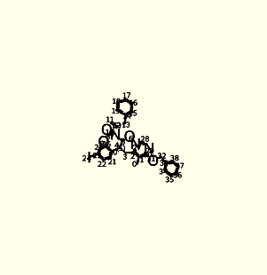 Cc1c(C[C@H](C(=O)N2C(=O)OC[C@@H]2Cc2ccccc2)c2ccc(I)cc2)ncnc1OCc1ccccc1